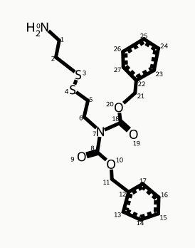 NCCSSCCN(C(=O)OCc1ccccc1)C(=O)OCc1ccccc1